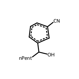 CCCCCC(O)c1cccc(C#N)c1